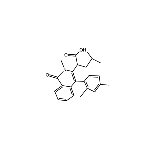 Cc1ccc(-c2c(C(CC(C)C)C(=O)O)n(C)c(=O)c3ccccc23)c(C)c1